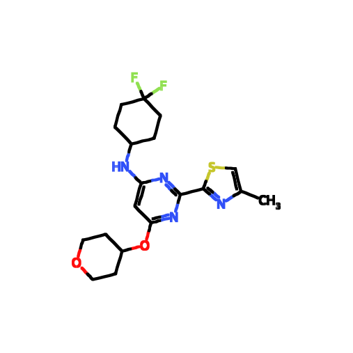 Cc1csc(-c2nc(NC3CCC(F)(F)CC3)cc(OC3CCOCC3)n2)n1